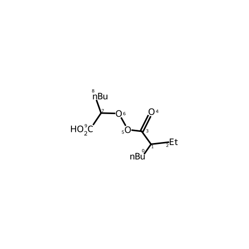 CCCCC(CC)C(=O)OOC(CCCC)C(=O)O